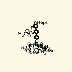 C=C(C)C(=O)OCc1cc(-c2ccc(CCCCCCC)cc2F)ccc1-c1ccc(OCC(COC(=O)C(=C)C)(COC(=O)C(=C)CC(=O)OC)COC(=O)C(C)(C)CC(=O)OC)cc1